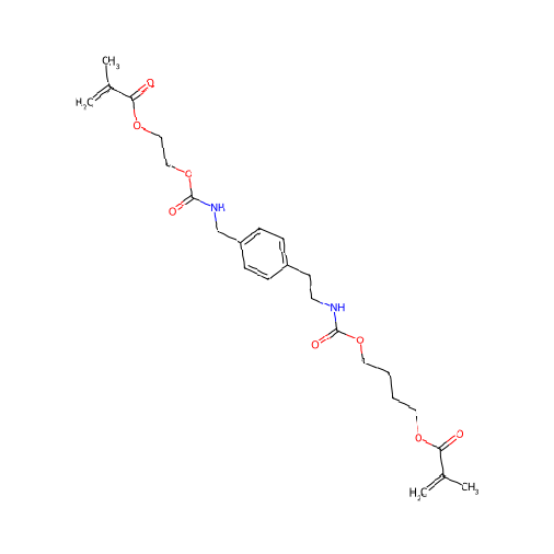 C=C(C)C(=O)OCCCCOC(=O)NCCc1ccc(CNC(=O)OCCOC(=O)C(=C)C)cc1